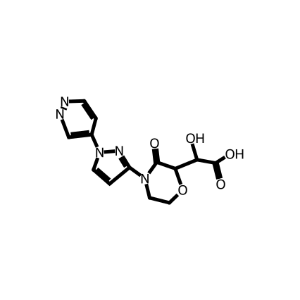 O=C(O)C(O)C1OCCN(c2ccn(-c3ccnnc3)n2)C1=O